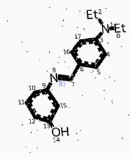 CCN(CC)c1ccc(/C=N/c2cccc(O)c2)cc1